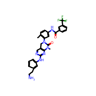 Cc1ccc(NC(=O)c2cccc(C(F)(F)F)c2)cc1N1Cc2cnc(Nc3cccc(CCN)c3)nc2N(C)C1=O